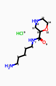 Cl.NCCCCCNC(=O)C1CNCCO1